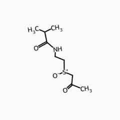 CC(=O)C[S+]([O-])CCNC(=O)C(C)C